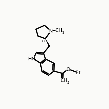 C=C(OCC)c1ccc2[nH]cc(C[C@H]3CCCN3C)c2c1